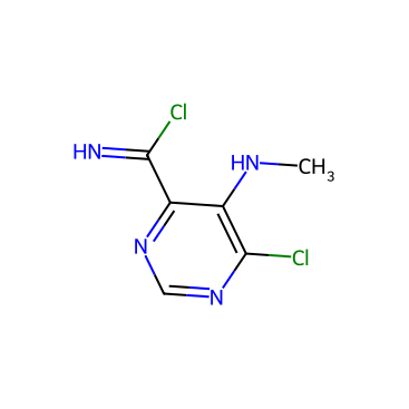 CNc1c(Cl)ncnc1C(=N)Cl